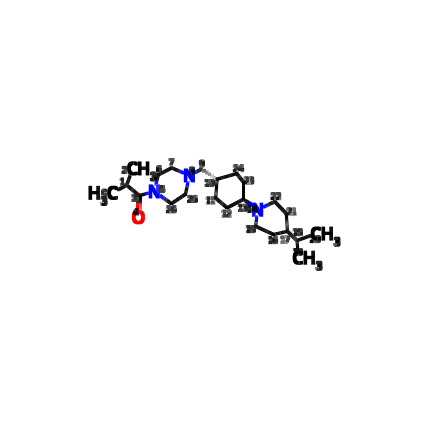 CC(C)C(=O)N1CCN(C[C@H]2CC[C@H](N3CCC(C(C)C)CC3)CC2)CC1